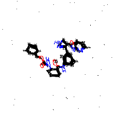 O=C(NC1CC=CCC1C(=O)Nc1cccc(-c2n[nH]cc2-c2nc3ncccc3o2)c1)OCc1ccccc1